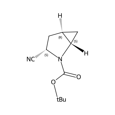 CC(C)(C)OC(=O)N1[C@H](C#N)C[C@H]2C[C@@H]21